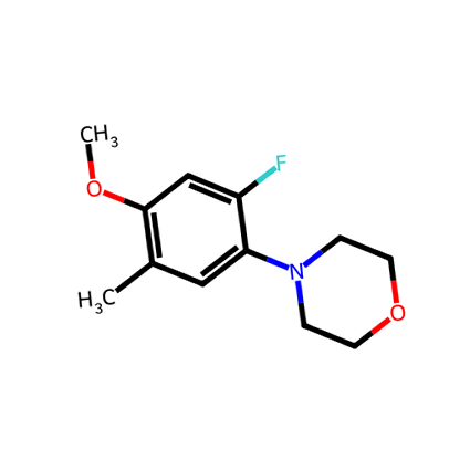 COc1cc(F)c(N2CCOCC2)cc1C